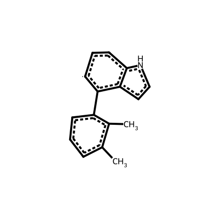 Cc1cccc(-c2[c]ccc3[nH]ccc23)c1C